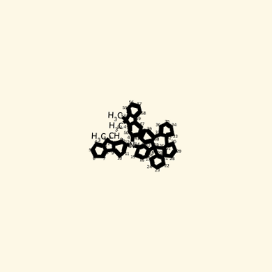 CC1(C)c2ccccc2-c2ccc(N(c3cccc(C4(c5ccccc5)c5ccccc5-c5ccccc5-c5ccccc54)c3)c3ccc4c(c3)C(C)(C)c3ccccc3-4)cc21